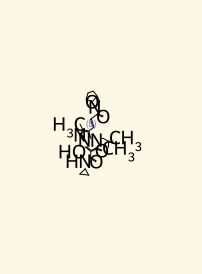 Cc1nn2c(O)c(C(=O)NC3CC3)c(=O)n(CC(C)C)c2c1/C=C/C(=O)N1CC2CCC(C1)O2